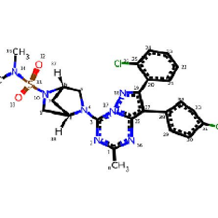 Cc1nc(N2C[C@@H]3C[C@H]2CN3S(=O)(=O)N(C)C)n2nc(-c3ccccc3Cl)c(-c3ccc(Cl)cc3)c2n1